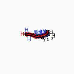 Cn1cc(NC(=O)c2nc(NC(=O)CCNC(=O)c3cc(NC(=O)c4nccn4C)cn3C)cn2C)cc1C(=O)NCCCC(=O)Nc1cn(C)c(C(=O)NCCC(=O)Nc2cc(C(=O)Nc3cn(C)c(C(=O)NCCC(=O)NCCOCCOCCOCCOCCOCCOc4ccc(NC(=O)CCCCCCC(=O)NO)cc4)n3)n(C)c2)n1